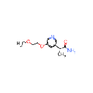 COCCOc1cncc(C(C)C(N)=O)c1